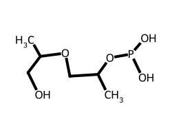 CC(CO)OCC(C)OP(O)O